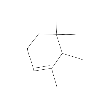 CC1=CCCC(C)(C)C1C